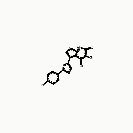 N#Cc1c(O)c2c(-c3ccc(-c4ccc(O)cc4)s3)csc2[nH]c1=O